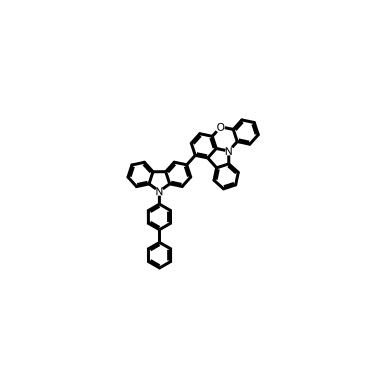 c1ccc(-c2ccc(-n3c4ccccc4c4cc(-c5ccc6c7c5c5ccccc5n7-c5ccccc5O6)ccc43)cc2)cc1